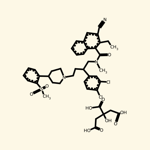 CCc1c(C#N)cc2ccccc2c1C(=O)N(C)CC(CCN1CCC(c2ccccc2S(C)(=O)=O)CC1)c1ccc(Cl)c(Cl)c1.O=C(O)CC(O)(CC(=O)O)C(=O)O